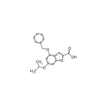 CC(C)Oc1cc(OCc2ccccc2)c2cc(C(=O)O)oc2c1